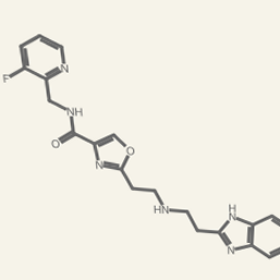 O=C(NCc1ncccc1F)c1coc(CCNCCc2nc3ccncc3[nH]2)n1